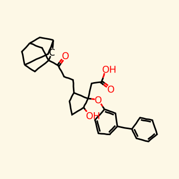 O=C(O)CC1(Oc2cccc(-c3ccccc3)c2)C(O)CCC1CCC(=O)C12CC3CC(CC(C3)C1)C2